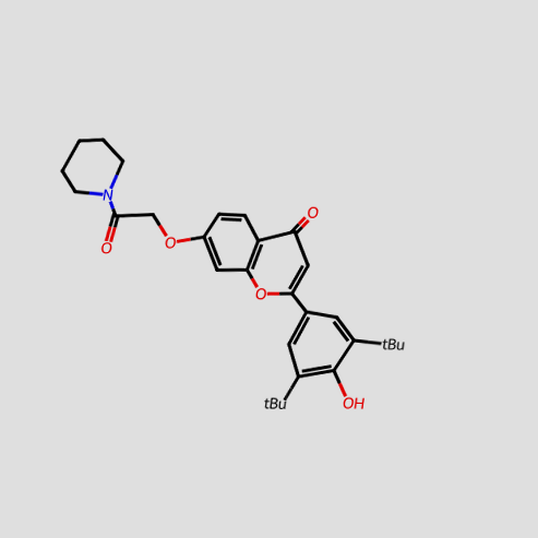 CC(C)(C)c1cc(-c2cc(=O)c3ccc(OCC(=O)N4CCCCC4)cc3o2)cc(C(C)(C)C)c1O